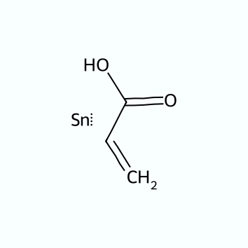 C=CC(=O)O.[Sn]